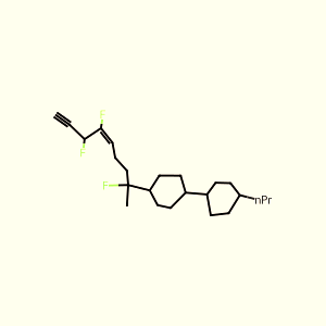 C#CC(F)/C(F)=C\CCC(C)(F)C1CCC(C2CCC(CCC)CC2)CC1